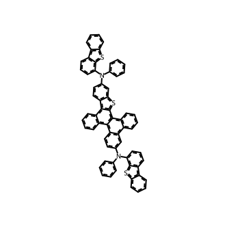 c1ccc(N(c2ccc3c(c2)sc2c3c3ccccc3c3c4ccc(N(c5ccccc5)c5cccc6c5sc5ccccc56)cc4c4ccccc4c23)c2cccc3c2sc2ccccc23)cc1